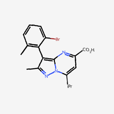 Cc1cccc(Br)c1-c1c(C)nn2c(C(C)C)cc(C(=O)O)nc12